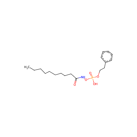 CCCCCCCCCC(=O)NOP(=O)(O)OCCc1ccccc1